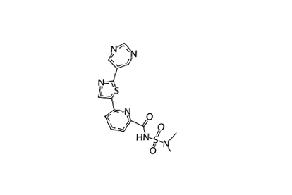 CN(C)S(=O)(=O)NC(=O)c1cccc(-c2cnc(-c3cncnc3)s2)n1